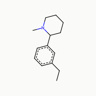 CCc1cccc(C2CCCCN2C)c1